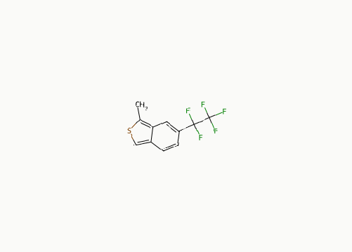 Cc1s[c]c2ccc(C(F)(F)C(F)(F)F)cc12